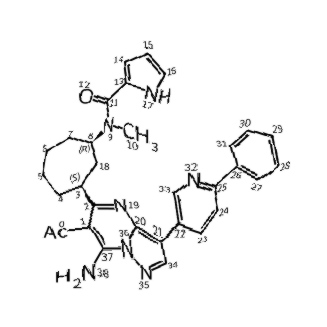 CC(=O)c1c([C@H]2CCCC[C@@H](N(C)C(=O)c3ccc[nH]3)C2)nc2c(-c3ccc(-c4ccccc4)nc3)cnn2c1N